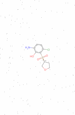 Nc1ccc(Cl)c(S(=O)(=O)[C@H]2CCOC2)c1O